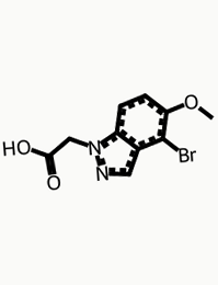 COc1ccc2c(cnn2CC(=O)O)c1Br